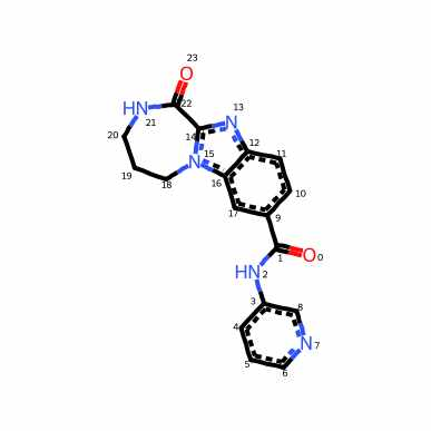 O=C(Nc1cccnc1)c1ccc2nc3n(c2c1)CCCNC3=O